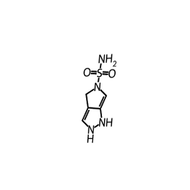 NS(=O)(=O)N1C=C2NNC=C2C1